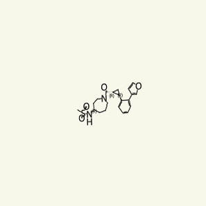 CS(=O)(=O)N[C@@H]1CCCN(C(=O)[C@@H]2C[C@H]2c2ccccc2-c2ccoc2)CC1